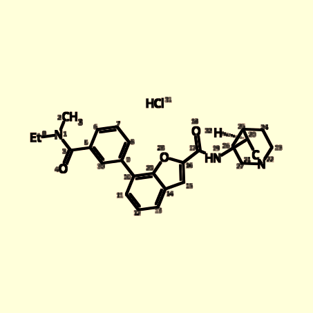 CCN(C)C(=O)c1cccc(-c2cccc3cc(C(=O)N[C@@H]4CN5CCC4CC5)oc23)c1.Cl